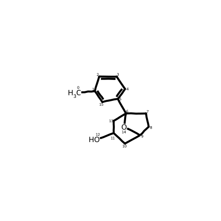 Cc1cccc(C23CCC(CC(O)C2)O3)c1